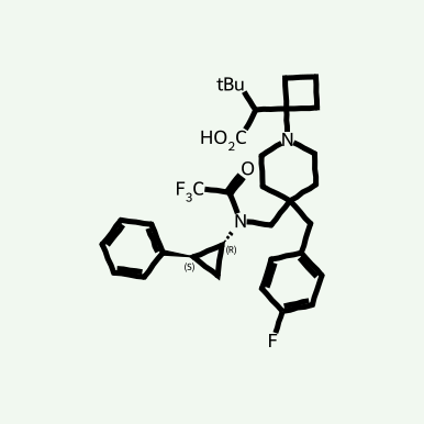 CC(C)(C)C(C(=O)O)C1(N2CCC(Cc3ccc(F)cc3)(CN(C(=O)C(F)(F)F)[C@@H]3C[C@H]3c3ccccc3)CC2)CCC1